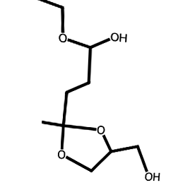 CCOC(O)CCC1(C)OCC(CO)O1